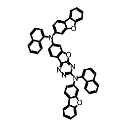 c1ccc2c(N(c3ccc4c(c3)oc3ccccc34)c3ccc4c(c3)oc3nc(N(c5ccc6c(c5)oc5ccccc56)c5cccc6ccccc56)nnc34)cccc2c1